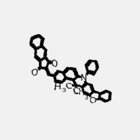 CC1(C)c2cc3oc4ccccc4c3cc2N(c2ccccc2)c2ccc3cc(C=C4C(=O)c5cc6ccccc6cc5C4=O)ccc3c21